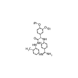 CCOc1cc(C(Nc2ccc(C(=N)N)cc2)C(=O)NNc2ccccc2C)ccc1OC(C)C